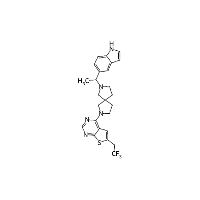 CC(c1ccc2[nH]ccc2c1)N1CCC2(CCN(c3ncnc4sc(CC(F)(F)F)cc34)C2)C1